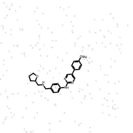 COc1ccc(-c2cnc(Nc3ccc(CNCC4CCCO4)cc3)nc2)cc1